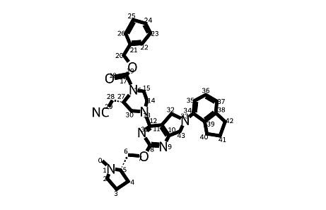 CN1CCC[C@H]1COc1nc2c(c(N3CCN(C(=O)OCc4ccccc4)[C@@H](CC#N)C3)n1)CN(c1cccc3c1CCC3)C2